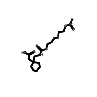 O=C(O)CC1(CNC(=O)OCCSSCCO[N+](=O)[O-])CCCCC1